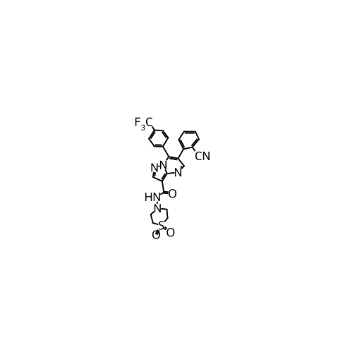 N#Cc1ccccc1-c1cnc2c(C(=O)NN3CCS(=O)(=O)CC3)cnn2c1-c1ccc(C(F)(F)F)cc1